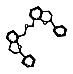 c1ccc(C2CCc3cccc(COCc4cccc5c4OC(c4ccccc4)CC5)c3O2)cc1